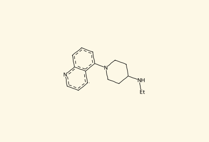 CCNC1CCN(c2cccc3ncc[c]c23)CC1